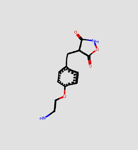 [NH]CCOc1ccc(CC2C(=O)NOC2=O)cc1